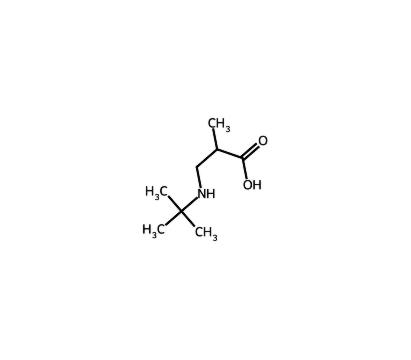 CC(CNC(C)(C)C)C(=O)O